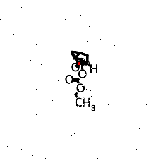 CCOC(=O)O[C@@H]1C2C3C[C@@H]1C(=O)C32